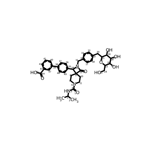 CC(C)NC(=O)N1CCC2(CC1)C(=O)N(Cc1ccc(CC3OC(CO)C(O)C(O)C3O)cc1)C2c1ccc(-c2cccc(C(=O)O)c2)cc1